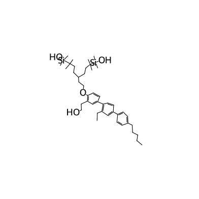 CCCCCc1ccc(-c2ccc(-c3ccc(OCCC(CCC(C)(C)[Si](C)(C)O)CCC(C)(C)[Si](C)(C)O)c(CCO)c3)c(CC)c2)cc1